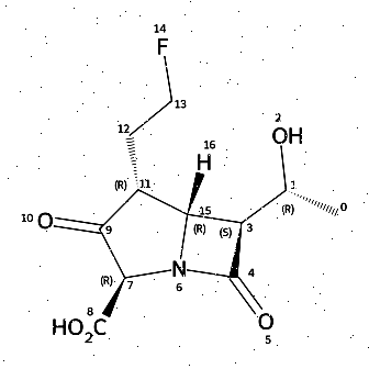 C[C@@H](O)[C@H]1C(=O)N2[C@@H](C(=O)O)C(=O)[C@H](CCF)[C@H]12